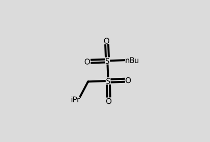 CCCCS(=O)(=O)S(=O)(=O)CC(C)C